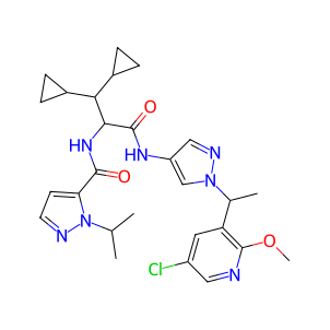 COc1ncc(Cl)cc1C(C)n1cc(NC(=O)C(NC(=O)c2ccnn2C(C)C)C(C2CC2)C2CC2)cn1